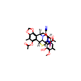 COc1c(C)cc2c(c1O)[C@H]1C3[C@@H]4SCC(NC(C)=O)C(=O)OC[C@@H](c5c6c(c(C)c(OC(C)=O)c54)OCO6)N3[C@@H](C#N)[C@@H](C2)N1C(C)=O